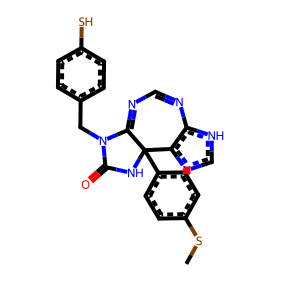 CSc1ccc(C23NC(=O)N(Cc4ccc(S)cc4)C2=NC=Nc2[nH]cnc23)cc1